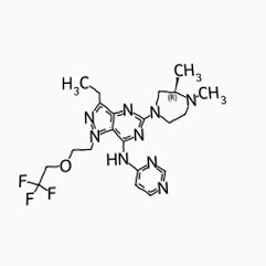 CCc1nn(CCOCC(F)(F)F)c2c(Nc3ccncn3)nc(N3CCN(C)[C@H](C)C3)nc12